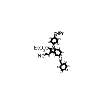 CCOC(=O)c1c(C=CC#N)c2cc(OCc3ccccc3)ccc2n1-c1ccc(OC(C)C)cc1